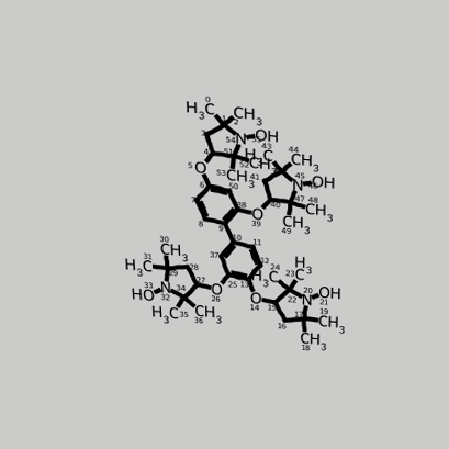 CC1(C)CC(Oc2ccc(-c3ccc(OC4CC(C)(C)N(O)C4(C)C)c(OC4CC(C)(C)N(O)C4(C)C)c3)c(OC3CC(C)(C)N(O)C3(C)C)c2)C(C)(C)N1O